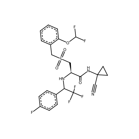 N#CC1(NC(=O)[C@H](CS(=O)(=O)Cc2ccccc2OC(F)F)NC(c2ccc(F)cc2)C(F)(F)F)CC1